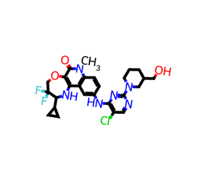 Cn1c(=O)c2c(c3cc(Nc4nc(N5CCCC(CO)C5)ncc4Cl)ccc31)NC(C1CC1)C(F)(F)CO2